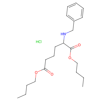 CCCCOC(=O)CCCC(NCc1ccccc1)C(=O)OCCCC.Cl